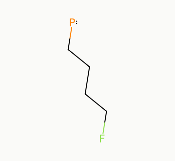 FCCCC[P]